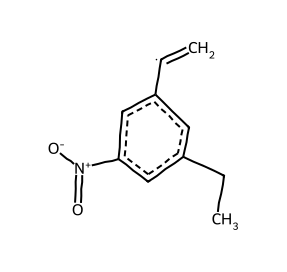 C=[C]c1cc(CC)cc([N+](=O)[O-])c1